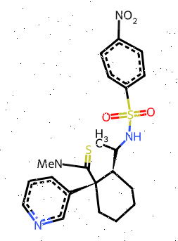 CNC(=S)[C@@]1(c2cccnc2)CCCC[C@@H]1C(C)NS(=O)(=O)c1ccc([N+](=O)[O-])cc1